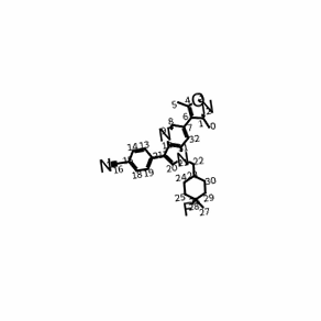 Cc1noc(C)c1-c1cnc2c(-c3ccc(C#N)cc3)cn(CC3CCC(C)(F)CC3)c2c1